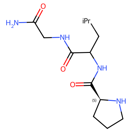 CC(C)CC(NC(=O)[C@@H]1CCCN1)C(=O)NCC(N)=O